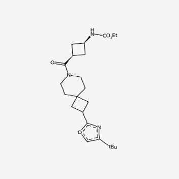 CCOC(=O)N[C@H]1C[C@@H](C(=O)N2CCC3(CC2)CC(c2nc(C(C)(C)C)co2)C3)C1